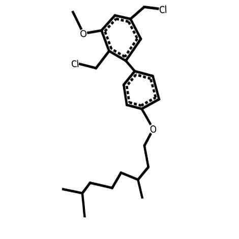 COc1cc(CCl)cc(-c2ccc(OCCC(C)CCCC(C)C)cc2)c1CCl